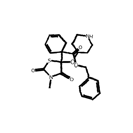 CN1C(=O)SC(OC2CCNCC2)(C2(C(=O)OCc3ccccc3)C=CC=CC2)C1=O